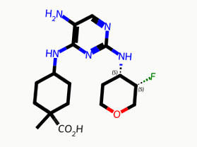 CC1(C(=O)O)CCC(Nc2nc(N[C@H]3CCOC[C@H]3F)ncc2N)CC1